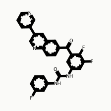 O=C(Nc1cccc(F)c1)Nc1cc(F)c(F)c(C(=O)c2ccc3ncc(-c4cccnc4)cc3c2)c1